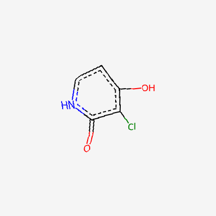 O=c1[nH]ccc(O)c1Cl